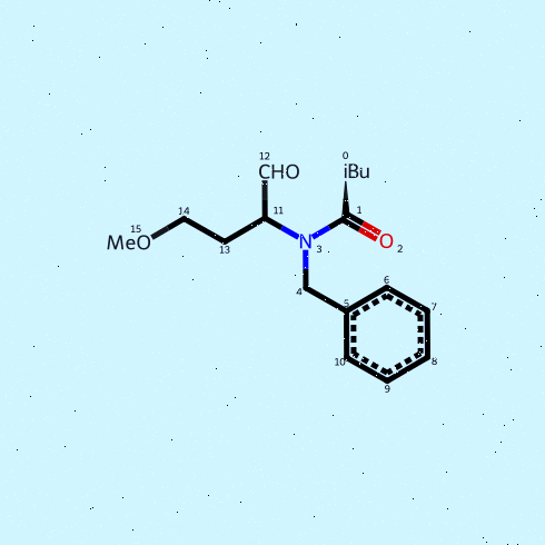 CC[C@H](C)C(=O)N(Cc1ccccc1)C(C=O)CCOC